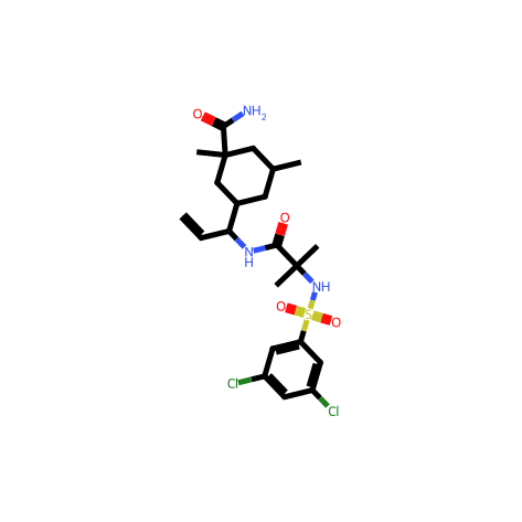 C=CC(NC(=O)C(C)(C)NS(=O)(=O)c1cc(Cl)cc(Cl)c1)C1CC(C)CC(C)(C(N)=O)C1